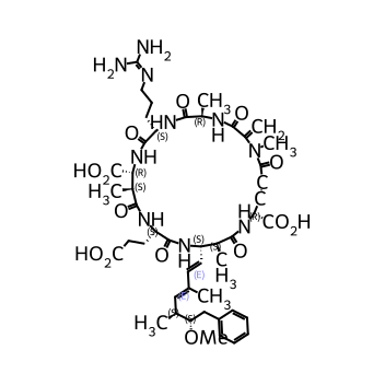 C=C1C(=O)N[C@H](C)C(=O)N[C@@H](CCCN=C(N)N)C(=O)N[C@@H](C(=O)O)[C@H](C)C(=O)N[C@@H](CCC(=O)O)C(=O)N[C@@H](/C=C/C(C)=C/[C@H](C)[C@H](Cc2ccccc2)OC)[C@H](C)C(=O)N[C@@H](C(=O)O)CCC(=O)N1C